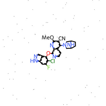 COc1nc2c(Oc3c(Cl)c(F)cc4[nH]ncc34)nccc2c(N2CC3CCC(C2)N3)c1C#N